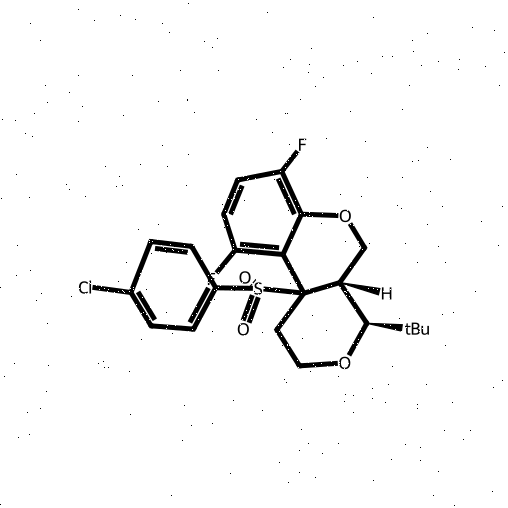 CC(C)(C)[C@H]1OCCC2(S(=O)(=O)c3ccc(Cl)cc3)c3c(F)ccc(F)c3OC[C@H]12